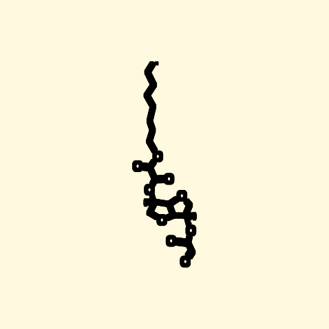 [CH2]CCCCCCCOC(=O)C(=O)O[C@@H]1COC2C1OC[C@H]2OC(=O)C=O